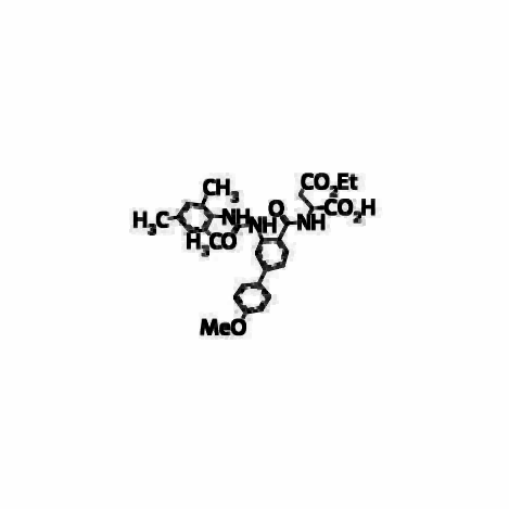 CCOC(=O)C[C@H](NC(=O)c1ccc(-c2ccc(OC)cc2)cc1NC(=O)Nc1c(C)cc(C)cc1C)C(=O)O